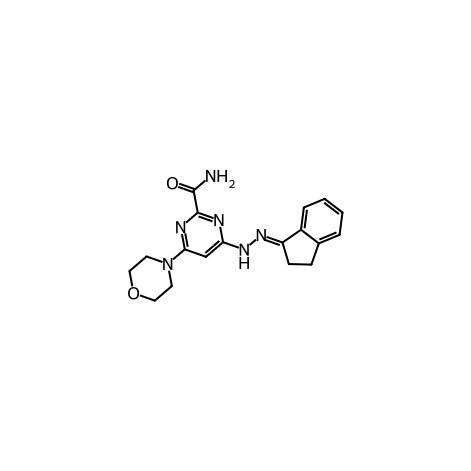 NC(=O)c1nc(NN=C2CCc3ccccc32)cc(N2CCOCC2)n1